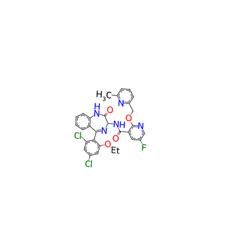 CCOc1cc(Cl)cc(Cl)c1C1=NC(NC(=O)c2cc(F)cnc2OCc2cccc(C)n2)C(=O)Nc2ccccc21